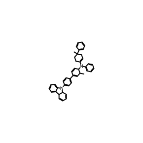 CC1C=C(c2ccc(N3c4ccccc4C4C=CC=CC43)cc2)C=CC1N(C1=CCC(C)(c2ccccc2)CC1)c1ccccc1